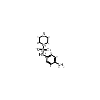 Nc1ccc(NS(=O)(=O)N2CCOCC2)cc1